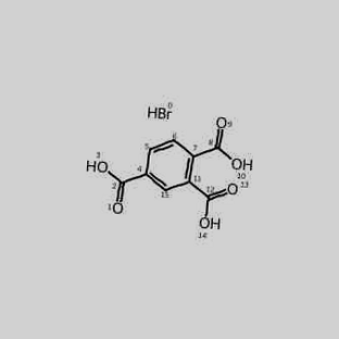 Br.O=C(O)c1ccc(C(=O)O)c(C(=O)O)c1